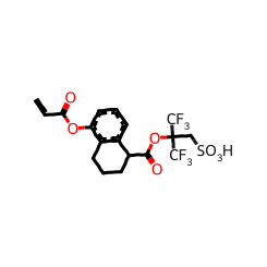 C=CC(=O)Oc1cccc2c1CCCC2C(=O)OC(CS(=O)(=O)O)(C(F)(F)F)C(F)(F)F